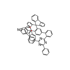 N#Cc1cccc(-c2cccc(-c3nc(-c4ccccc4)nc(-c4ccccc4-c4ccc5c(c4)C4(c6ccccc6-c6ccccc64)c4ccccc4C54c5ccccc5-c5ccccc54)n3)c2)c1